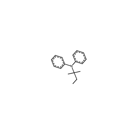 CCC(C)(C)N(c1ccccc1)c1ccccc1